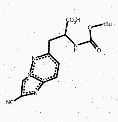 CC(C)(C)OC(=O)NC(Cc1ccc2nc(C#N)cn2n1)C(=O)O